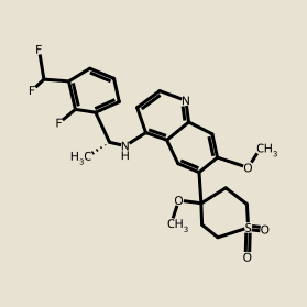 COc1cc2nccc(N[C@H](C)c3cccc(C(F)F)c3F)c2cc1C1(OC)CCS(=O)(=O)CC1